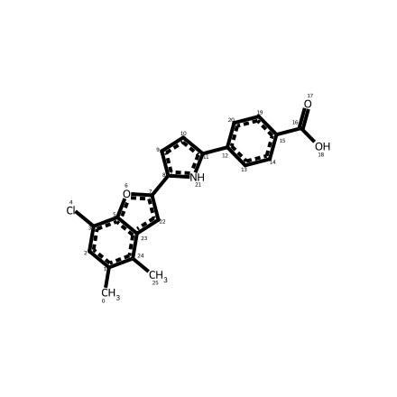 Cc1cc(Cl)c2oc(-c3ccc(-c4ccc(C(=O)O)cc4)[nH]3)cc2c1C